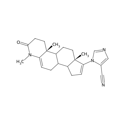 CN1C(=O)CC[C@@]2(C)C1=CCC1C2CC[C@]2(C)C(n3cncc3C#N)=CCC12